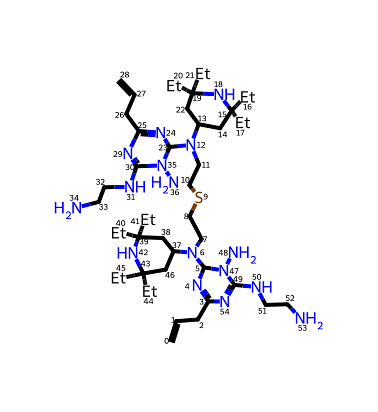 C=CCC1=NC(N(CCSCCN(C2CC(CC)(CC)NC(CC)(CC)C2)C2N=C(CC=C)N=C(NCCN)N2N)C2CC(CC)(CC)NC(CC)(CC)C2)N(N)C(NCCN)=N1